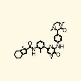 Cc1c(NC(=O)c2cc3c(s2)CCCC3)cccc1-c1cn(C)c(=O)c(Nc2ccc(C3C(=O)N(C)CCN3C)cc2)n1